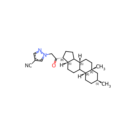 C[C@H]1CC[C@@H]2C3CC[C@H]4C(CC[C@H]4C(=O)Cn4cc(C#N)cn4)[C@@H]3CC[C@]2(C)C1